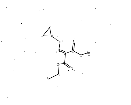 CCOC(=O)/C(=N/OC1CC1)C(=O)CBr